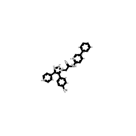 N#Cc1ccc(-c2c(-c3ccncc3)nnn2CC(=O)Nc2ccc(-c3ccccc3)cn2)cc1